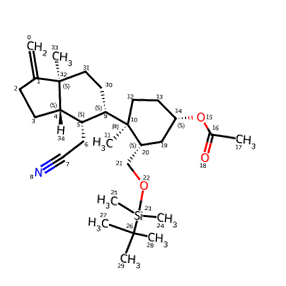 C=C1CC[C@H]2[C@@H](CC#N)[C@@H]([C@@]3(C)CC[C@H](OC(C)=O)C[C@@H]3CO[Si](C)(C)C(C)(C)C)CC[C@]12C